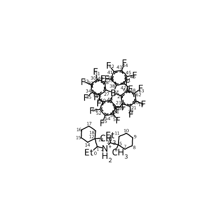 CCC([NH2+]C(CC)C1(C)CCCCC1)C1(C)CCCCC1.Fc1c(F)c(F)c([B-](c2c(F)c(F)c(F)c(F)c2F)(c2c(F)c(F)c(F)c(F)c2F)c2c(F)c(F)c(F)c(F)c2F)c(F)c1F